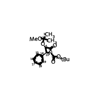 COC(C)(C)O[C@H]1C(=O)N(C(=O)OC(C)(C)C)[C@H]1c1ccccc1